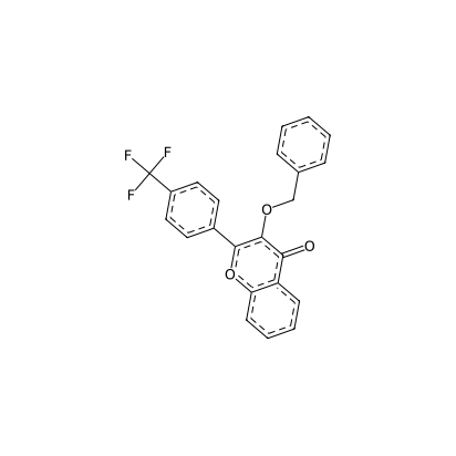 O=c1c(OCc2ccccc2)c(-c2ccc(C(F)(F)F)cc2)oc2ccccc12